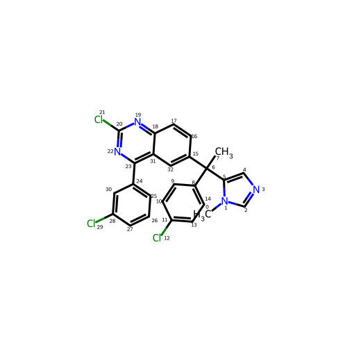 Cn1cncc1C(C)(c1ccc(Cl)cc1)c1ccc2nc(Cl)nc(-c3cccc(Cl)c3)c2c1